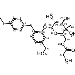 CCc1ccc(Cc2ccc(CO)cc2O[C@H]2O[C@H](COC(=O)CO)[C@@](C)(O)[C@H](O)[C@H]2O)cc1